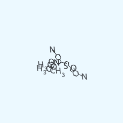 CC(C)(C)OC(=O)n1cc(-c2ccc(-c3cc4ccc(C#N)cc4o3)s2)c2ccc(C#N)cc21